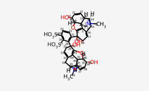 CN1CC[C@]23C4=C5O[C@H]2[C@@H](O)C=C[C@H]3[C@H]1CC4=CCC5(O)c1ccc(S(=O)(=O)O)c(S(=O)(=O)O)c1C1(O)CC=C2C[C@@H]3[C@@H]4C=C[C@H](O)[C@@H]5OC1=C2[C@]45CCN3C